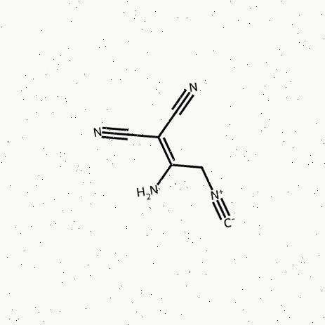 [C-]#[N+]CC(N)=C(C#N)C#N